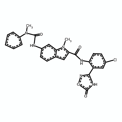 CN(C(=O)Nc1ccc2cc(C(=O)Nc3ccc(Cl)cc3-c3noc(=O)[nH]3)n(C)c2c1)c1ccccc1